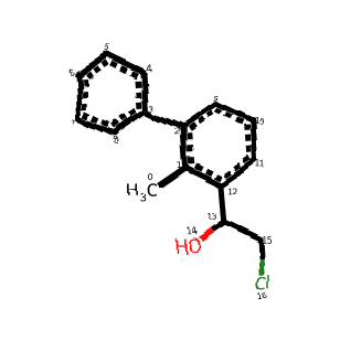 Cc1c(-c2ccccc2)cccc1C(O)CCl